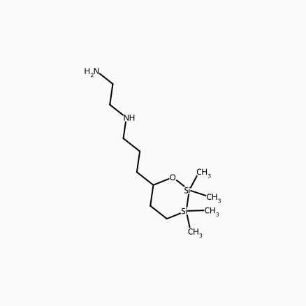 C[Si]1(C)CCC(CCCNCCN)O[Si]1(C)C